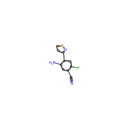 N#Cc1cc(N)c(-c2ccsn2)cc1F